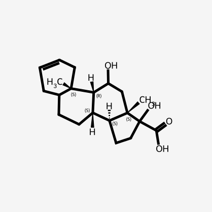 C[C@]12CC=CCC1CC[C@@H]1[C@H]2C(O)C[C@@]2(C)[C@H]1CCC2(O)C(=O)O